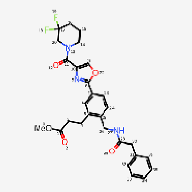 COC(=O)CCc1cc(-c2nc(C(=O)N3CCCC(F)(F)C3)co2)ccc1CNC(=O)Cc1ccccc1